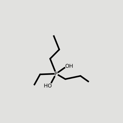 CCCP(O)(O)(CC)CCC